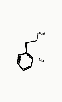 CCCCCCCc1ccccc1.[NaH]